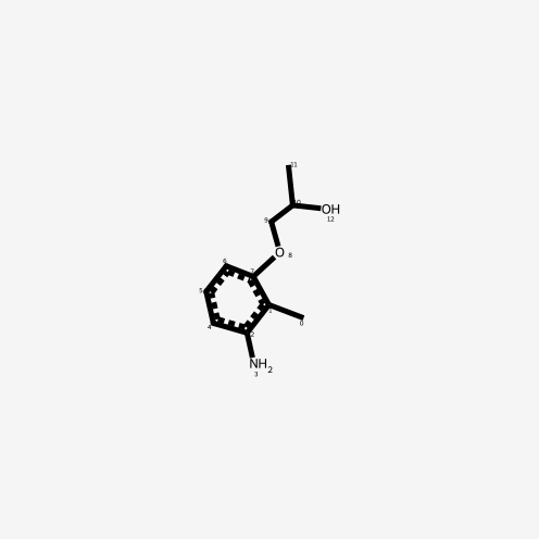 Cc1c(N)cccc1OCC(C)O